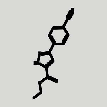 CCOC(=O)c1cc(-c2ccc(C#N)cc2)n[nH]1